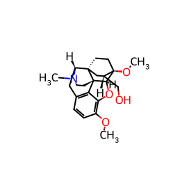 COc1ccc2c3c1O[C@H]1[C@@]4(OC)CC[C@@]5(C[C@H]4CO)[C@@H](C2)N(C)CC[C@]315